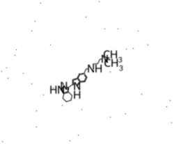 CN(C)CCCNCc1ccc2[nH]c(-c3n[nH]c4c3CCCC4)cc2c1